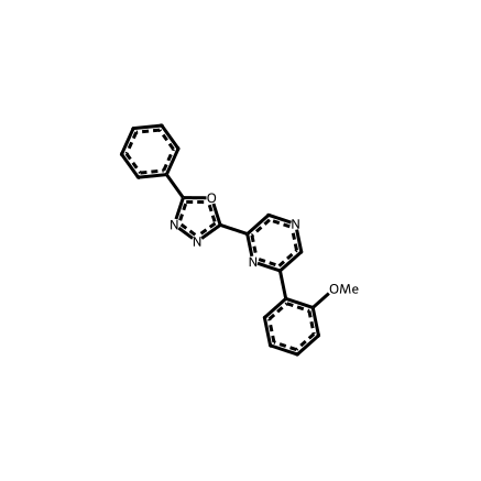 COc1ccccc1-c1cncc(-c2nnc(-c3ccccc3)o2)n1